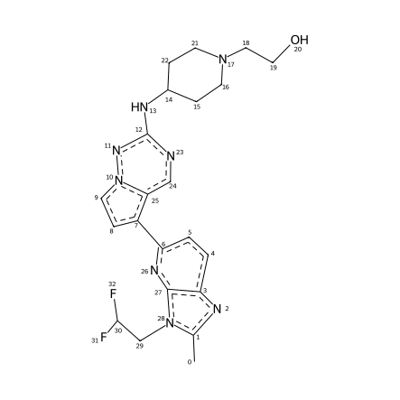 Cc1nc2ccc(-c3ccn4nc(NC5CCN(CCO)CC5)ncc34)nc2n1CC(F)F